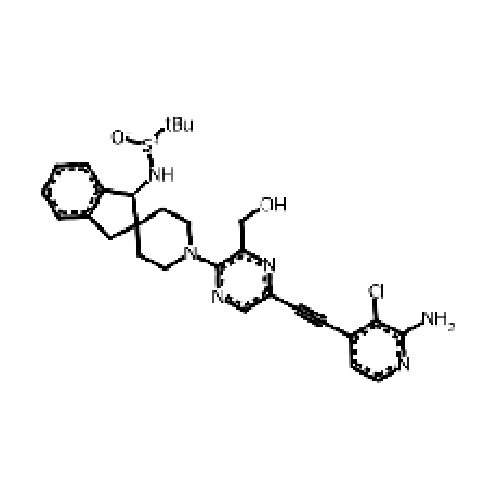 CC(C)(C)[S+]([O-])N[C@@H]1c2ccccc2CC12CCN(c1ncc(C#Cc3ccnc(N)c3Cl)nc1CO)CC2